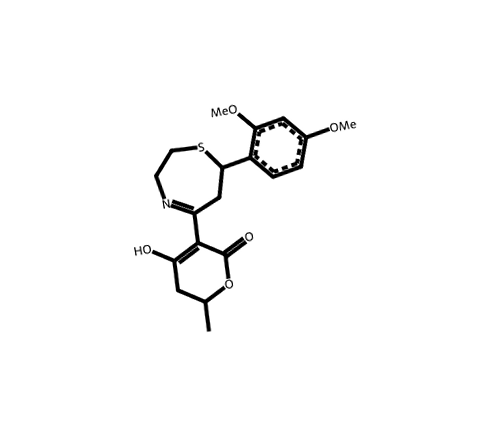 COc1ccc(C2CC(C3=C(O)CC(C)OC3=O)=NCCS2)c(OC)c1